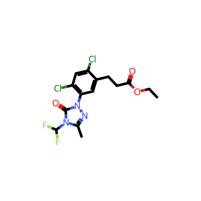 CCOC(=O)CCc1cc(-n2nc(C)n(C(F)F)c2=O)c(Cl)cc1Cl